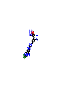 CCOc1ccc(CCC2(CCNC)CCC(CCN3CCC(n4cc5cc(/C=C/C=C\C(=N)C(F)(F)F)c(C(C)C)cc5n4)CC3)CC2)cc1NC